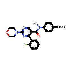 COc1ccc(N(C(=O)c2cnc(N3CCOCC3)nc2-c2ccccc2F)C(C)C)cc1